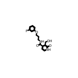 O=C(NCCCOc1cccc(F)c1)c1cc[nH]c(=O)c1CO